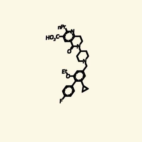 CCCc1nc2c(cc1C(=O)O)C(=O)N(C1CCN(Cc3cc(OCC)c(-c4ccc(F)cc4)c(C4CC4)c3)CC1)CC2